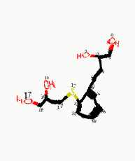 OCC(O)CCc1ccccc1SCC(O)CO